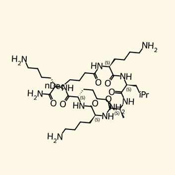 CCCCCCCCCCCCCC(=O)N[C@@H](CCCCN)C(=O)N[C@@H](CC(C)C)C(=O)N[C@@H](C)C(=O)N[C@@H](CCCCN)C(=O)N[C@@H](CCCCN)C(=O)N[C@@H](CCCCN)C(N)=O